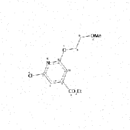 CCOC(=O)c1cc(Cl)nc(OCCOC)c1